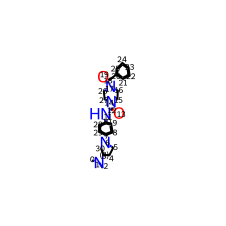 CN(C)[C@@H]1CCN(c2ccc(NC(=O)N3CCN(C(=O)c4ccccc4)CC3)cc2)C1